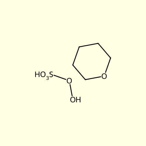 C1CCOCC1.O=S(=O)(O)OO